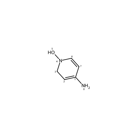 NC1=CCN(O)C=C1